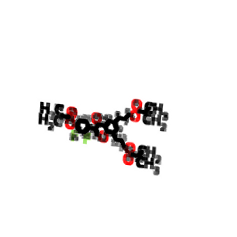 C=C(C)C(=O)OCCCc1cc(CCCOC(=O)C(=C)C)c2occ(-c3ccc(OC(=O)C(=C)C)c(F)c3F)c(=O)c2c1